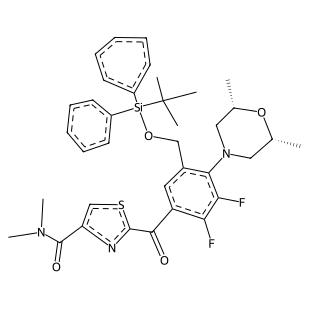 C[C@@H]1CN(c2c(CO[Si](c3ccccc3)(c3ccccc3)C(C)(C)C)cc(C(=O)c3nc(C(=O)N(C)C)cs3)c(F)c2F)C[C@H](C)O1